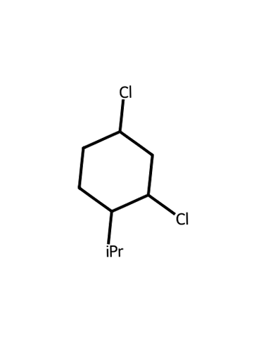 CC(C)C1CCC(Cl)CC1Cl